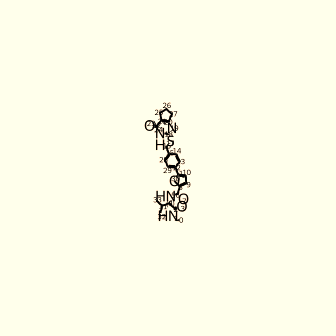 CNC(=O)[C@@H](NC(=O)c1ccc(-c2ccc(CSc3nc4c(c(=O)[nH]3)CCC4)cc2)o1)C(C)C